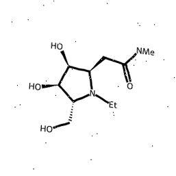 CCN1[C@H](CC(=O)NC)[C@H](O)[C@H](O)[C@H]1CO